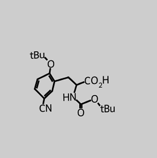 CC(C)(C)OC(=O)NC(Cc1cc(C#N)ccc1OC(C)(C)C)C(=O)O